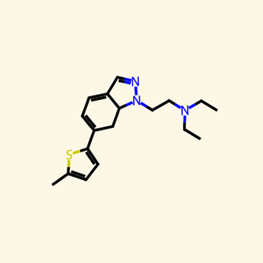 CCN(CC)CCN1N=CC2=CC=C(c3ccc(C)s3)CC21